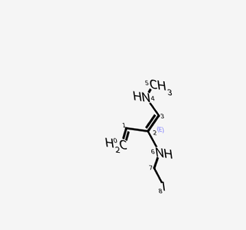 C=C/C(=C\NC)NCI